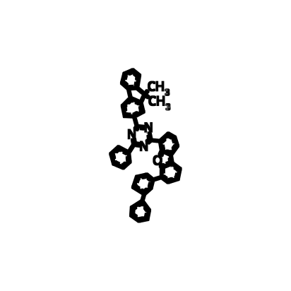 CC1(C)c2ccccc2-c2ccc(-c3nc(-c4ccccc4)nc(-c4cccc5c4oc4c(-c6cccc(-c7ccccc7)c6)cccc45)n3)cc21